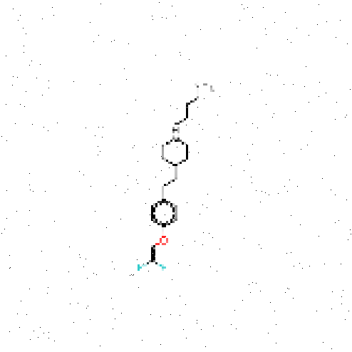 CCCCC[SiH]1CCC(CCc2ccc(OC=C(F)F)cc2)CC1